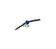 CCCCCCCCCCCCN1C=CN(CCCCCCCCCCCC)C1C.Cl